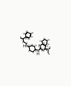 CC(CCNC1CCC(Nc2nc3c(c(N(C)C)n2)CCCC3)CC1)c1ccccc1